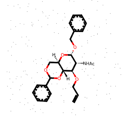 C=CCO[C@@H]1[C@@H](NC(C)=O)[C@@H](OCc2ccccc2)O[C@@H]2COC(c3ccccc3)O[C@@H]12